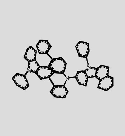 c1ccc(-c2ccc(N(c3ccc4c5c6ccccc6ccc5n(-c5ccccc5)c4c3)c3ccccc3-c3ccc4c5ccccc5n(-c5ccccc5)c4c3)cc2)cc1